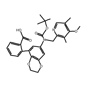 COc1c(C)cnc(CN(C(=O)OC(C)(C)C)c2cc3c(c(-c4ccccc4C(=O)O)c2)OCCO3)c1C